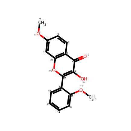 COc1ccc2c(=O)c(O)c(-c3ccccc3OC)oc2c1